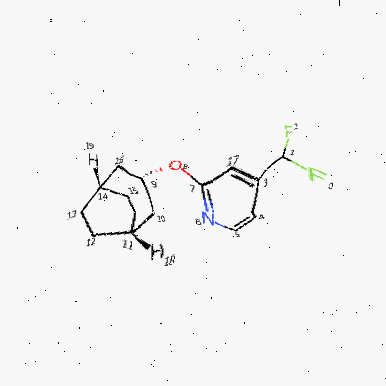 FC(F)c1ccnc(O[C@@H]2C[C@@H]3CC[C@@H](C3)C2)c1